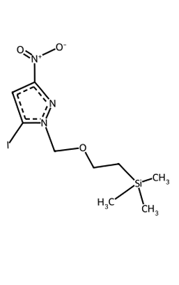 C[Si](C)(C)CCOCn1nc([N+](=O)[O-])cc1I